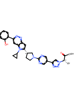 COC(=O)[C@H](C(C)C)n1cc(-c2cnc(N3CC[C@H](c4cc5nnc(-c6ccccc6O)cc5n4C4CC4)C3)nc2)nn1